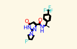 C[C@@H](NC(=O)c1cc(=O)[nH]c(N2CC[C@H](F)C2)n1)c1ccc(C(F)(F)F)cc1